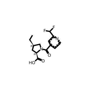 CC[C@@H]1C[C@H](C(=O)O)N(C(=O)c2ccnc(C(F)F)c2)C1